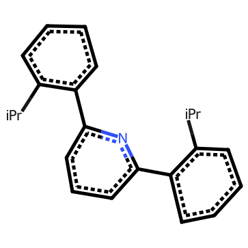 CC(C)c1ccccc1-c1cccc(-c2ccccc2C(C)C)n1